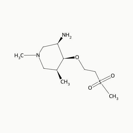 C[C@H]1CN(C)C[C@@H](N)[C@H]1OCCS(C)(=O)=O